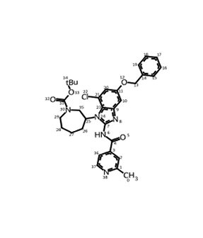 Cc1cc(C(=O)Nc2nc3cc(OCc4ccccc4)cc(Cl)c3n2C2CCCCN(C(=O)OC(C)(C)C)C2)ccn1